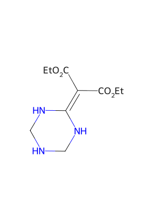 CCOC(=O)C(C(=O)OCC)=C1NCNCN1